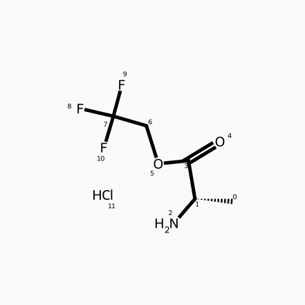 C[C@H](N)C(=O)OCC(F)(F)F.Cl